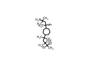 CCC(C)(CC)C(C)(C)CC(C)(C)C1CCCC(C(C)(CC(C)(C)N)C(C)C)CC1